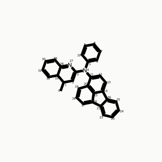 CC1C=C(N(c2ccccc2)c2ccc3c4c(cccc24)-c2ccccc2-3)N=C2C=CC=CC21